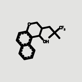 CC(C)(CC1COc2ccc3ccccc3c2C1O)C(F)(F)F